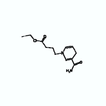 CCOC(=O)CCCN1C=CCC(C(N)=O)=C1